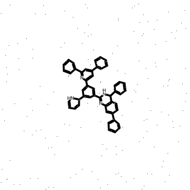 C1=CNC(c2cc(C3=Nc4cc(-c5ccccc5)ccc4C(c4ccccc4)N3)cc(-c3cc(-c4ccccc4)cc(-c4ccccc4)n3)c2)C=C1